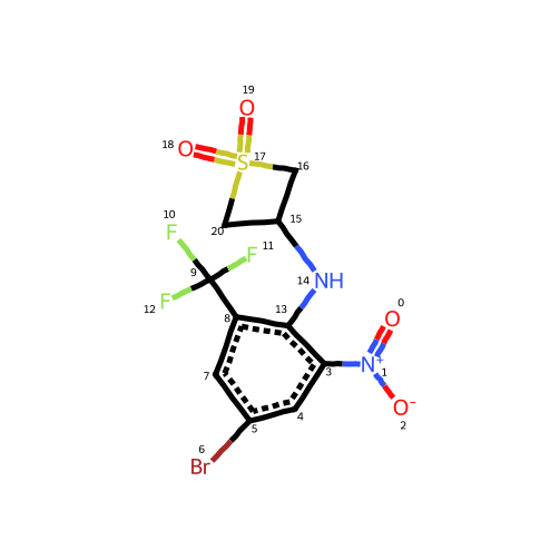 O=[N+]([O-])c1cc(Br)cc(C(F)(F)F)c1NC1CS(=O)(=O)C1